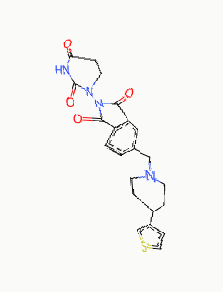 O=C1CCN(N2C(=O)c3ccc(CN4CCC(c5ccsc5)CC4)cc3C2=O)C(=O)N1